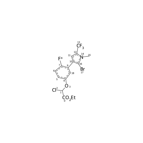 CCOC(=O)C(Cl)Oc1ccc(F)c(-c2cc(C(F)(F)F)n(C)c2Br)c1